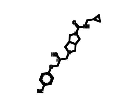 N#Cc1ccc(OC[C@@H](O)CN2CC3CN(C(=O)NCC4CC4)CC3C2)cc1